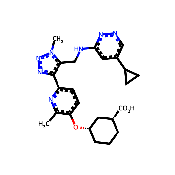 Cc1nc(-c2nnn(C)c2CNc2cc(C3CC3)cnn2)ccc1O[C@H]1CCC[C@H](C(=O)O)C1